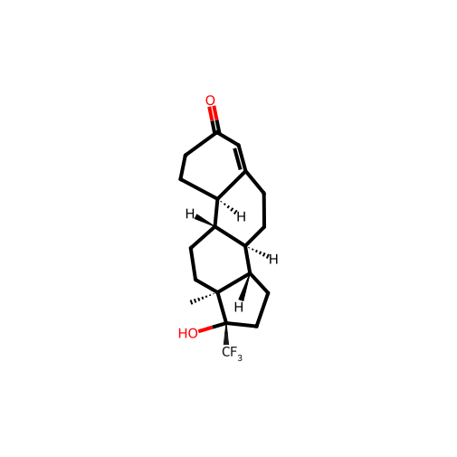 C[C@]12CC[C@H]3[C@@H](CCC4=CC(=O)CC[C@@H]43)[C@@H]1CC[C@@]2(O)C(F)(F)F